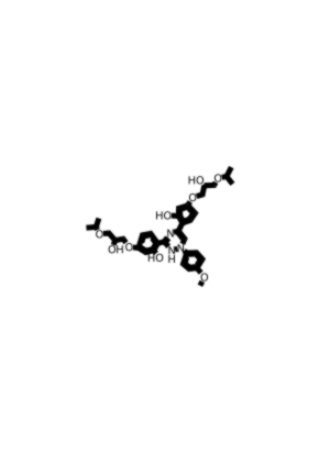 COc1ccc(N2C=C(c3ccc(OCC(O)COC(C)C)cc3O)N=C(c3ccc(OCC(O)COC(C)C)cc3O)N2)cc1